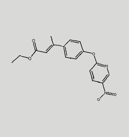 CCOC(=O)C=C(C)c1ccc(Oc2ccc([N+](=O)[O-])cn2)cc1